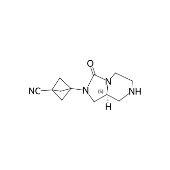 N#CC12CC(N3C[C@@H]4CNCCN4C3=O)(C1)C2